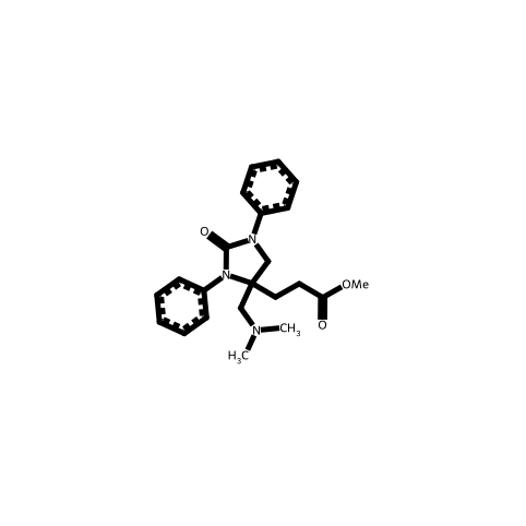 COC(=O)CCC1(CN(C)C)CN(c2ccccc2)C(=O)N1c1ccccc1